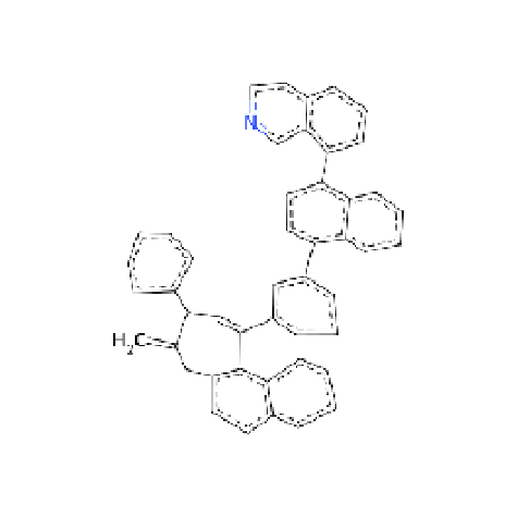 C=C1Cc2ccc3ccccc3c2C(c2cccc(-c3ccc(-c4cccc5ccncc45)c4ccccc34)c2)=CC1c1ccccc1